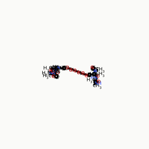 CCN(c1cc(-c2ccc(OCCOCCOCCOCCOCCOc3ccc(CCN4CC[C@@H]5CCN(C(=O)[C@@H](NC(=O)[C@H](C)N(C)C(=O)OC(C)(C)C)C6CCCCC6)[C@@H]5C4)cc3)cc2)cc(C(=O)NCc2c(C)cc(C)[nH]c2=O)c1C)C1CCOCC1